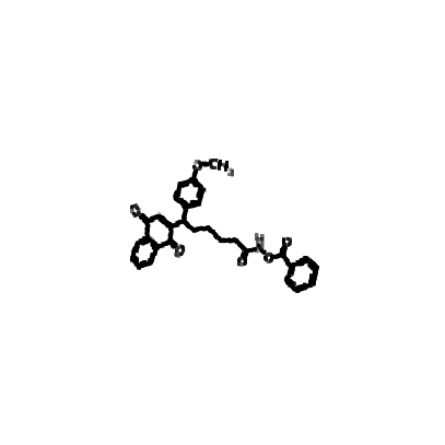 COc1ccc(C(CCCCC(=O)NOC(=O)c2ccccc2)C2=CC(=O)c3ccccc3C2=O)cc1